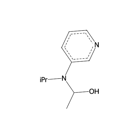 CC(C)N(c1cccnc1)C(C)O